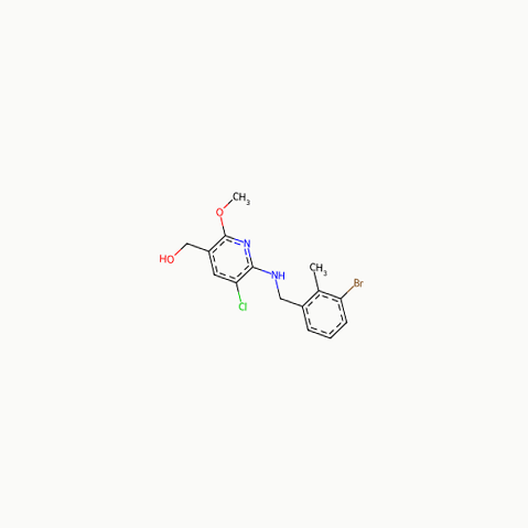 COc1nc(NCc2cccc(Br)c2C)c(Cl)cc1CO